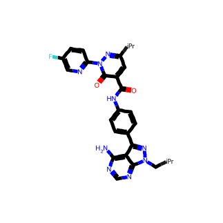 CC(C)Cn1nc(-c2ccc(NC(=O)c3cc(C(C)C)nn(-c4ccc(F)cn4)c3=O)cc2)c2c(N)ncnc21